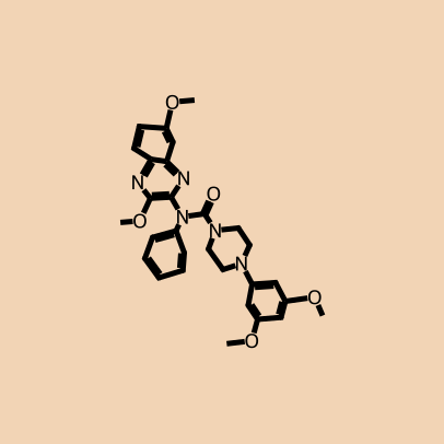 COc1cc(OC)cc(N2CCN(C(=O)N(c3ccccc3)c3nc4cc(OC)ccc4nc3OC)CC2)c1